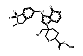 CN1Cc2cc(Nc3nn(C4(CC#N)CCC(C(=O)OC(C)(C)C)OC4)c4cc[nH]c(=O)c34)ccc2S1(=O)=O